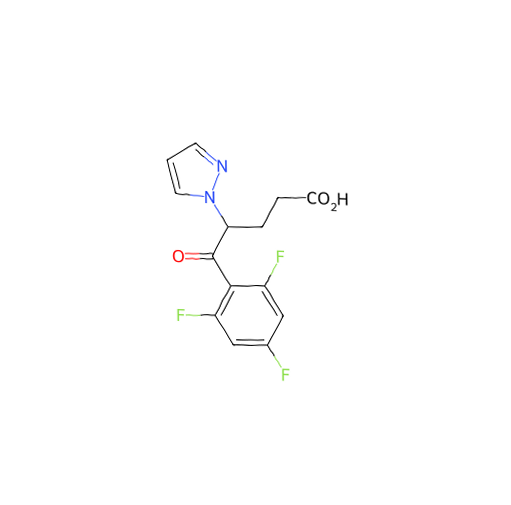 O=C(O)CCC(C(=O)c1c(F)cc(F)cc1F)n1cccn1